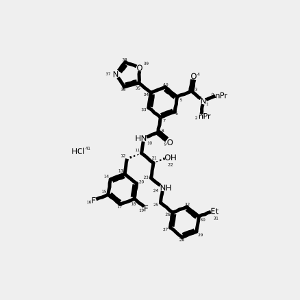 CCCN(CCC)C(=O)c1cc(C(=O)N[C@@H](Cc2cc(F)cc(F)c2)[C@H](O)CNCc2cccc(CC)c2)cc(-c2cnco2)c1.Cl